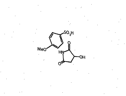 COc1ccc(S(=O)(=O)O)cc1.O=C1CC(O)C(=O)N1